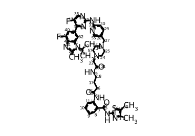 Cc1nc(NC(=O)c2ccccc2NC(=O)CCCNC(=O)CN2CCN(Cc3ccc(Nc4ncc(F)c(-c5cc(F)c6nc(C)n(C(C)C)c6c5)n4)nc3)CC2)sc1C